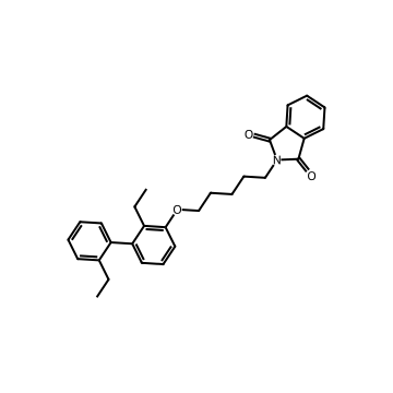 CCc1ccccc1-c1cccc(OCCCCCN2C(=O)c3ccccc3C2=O)c1CC